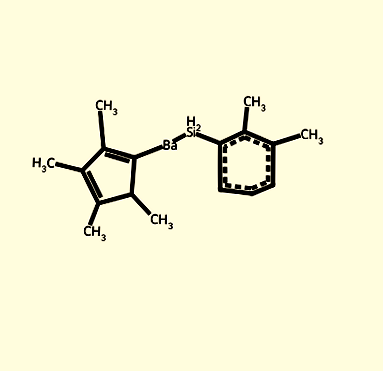 CC1=C(C)C(C)[C]([Ba][SiH2]c2cccc(C)c2C)=C1C